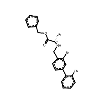 CC(C)[C@H](NCc1ccc(-c2ccccc2C#N)cc1Br)C(=O)OCc1ccccc1